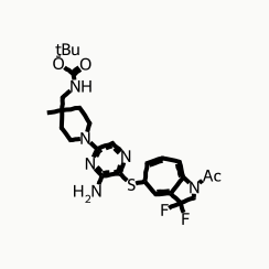 CC(=O)N1CC(F)(F)C2=CC(Sc3ncc(N4CCC(C)(CNC(=O)OC(C)(C)C)CC4)nc3N)C=CC=C21